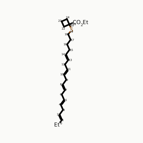 CCC=CCC=CCC=CCC=CCC=CCCCCSC1(C(=O)OCC)CCC1